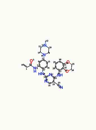 C=CC(=O)Nc1cc(N2CCN(C)CC2)ccc1Nc1ncc(C#N)c(Nc2cccc3c2OCCO3)n1